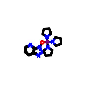 c1cnc2c(c1)nnn2O[P](N1CCCC1)(N1CCCC1)N1CCCC1